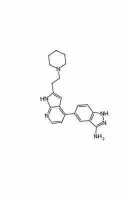 Nc1n[nH]c2ccc(-c3ccnc4[nH]c(CCN5CCCCC5)cc34)cc12